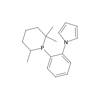 CC1CCCC(C)(C)P1c1ccccc1-n1cccc1